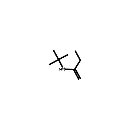 C=C(CC)NC(C)(C)C